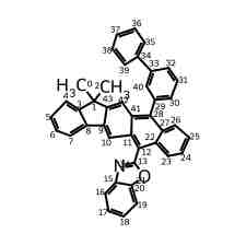 CC1(C)c2ccccc2-c2cc3c(-c4nc5ccccc5o4)c4ccccc4c(-c4cccc(-c5ccccc5)c4)c3cc21